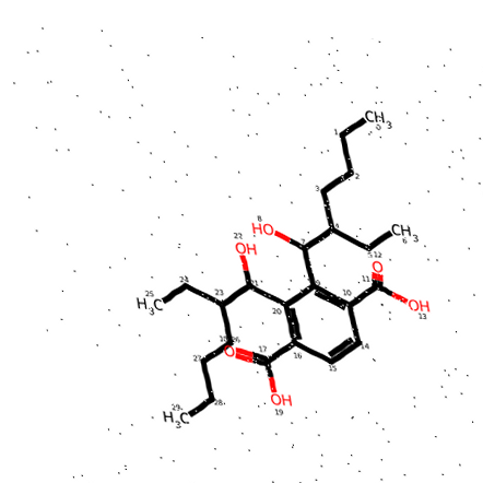 CCCCC(CC)C(O)c1c(C(=O)O)ccc(C(=O)O)c1C(O)C(CC)CCCC